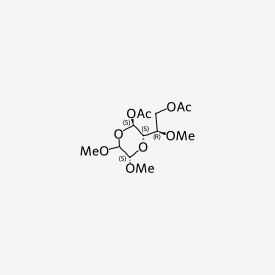 COC1O[C@@H](OC(C)=O)[C@H]([C@@H](COC(C)=O)OC)O[C@@H]1OC